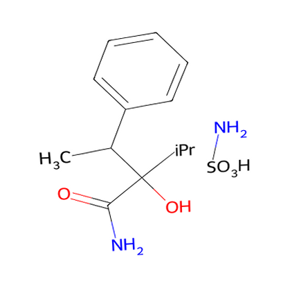 CC(C)C(O)(C(N)=O)C(C)c1ccccc1.NS(=O)(=O)O